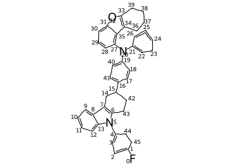 FC1=CC=C(n2c3c(c4ccccc42)CC(c2ccc(N(C4=CCC=C=C4)c4cccc5oc6c(c45)CCCC6)cc2)CC3)CC1